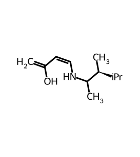 C=C(O)/C=C\NC(C)[C@@H](C)C(C)C